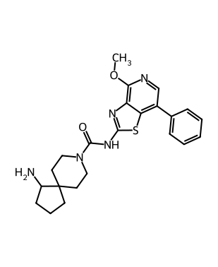 COc1ncc(-c2ccccc2)c2sc(NC(=O)N3CCC4(CCCC4N)CC3)nc12